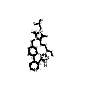 CCCCCc1c(C)n(CC(C)C)c(=O)n1Cc1ccc(-c2ccncc2-c2nnn[nH]2)cc1